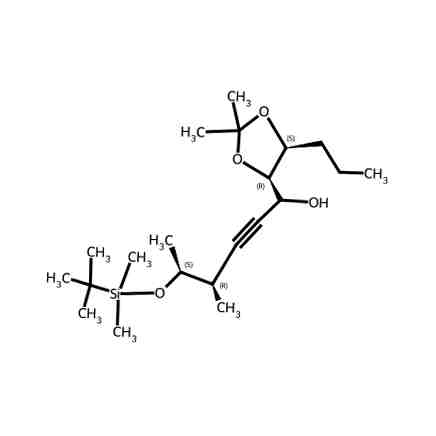 CCC[C@@H]1OC(C)(C)O[C@@H]1C(O)C#C[C@@H](C)[C@H](C)O[Si](C)(C)C(C)(C)C